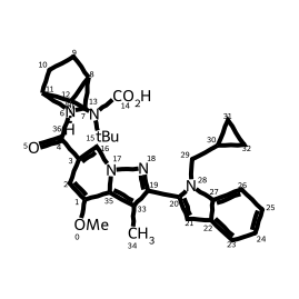 COc1cc(C(=O)N2CC3CCC2[C@@H]3N(C(=O)O)C(C)(C)C)cn2nc(-c3cc4ccccc4n3CC3CC3)c(C)c12